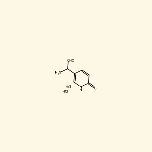 Cl.Cl.NC(C=O)c1ccc(=O)[nH]c1